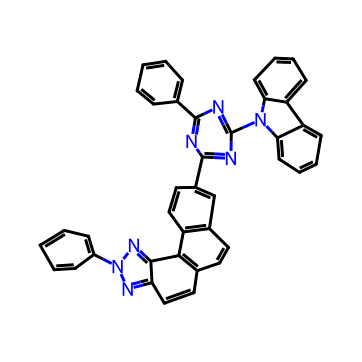 c1ccc(-c2nc(-c3ccc4c(ccc5ccc6nn(-c7ccccc7)nc6c54)c3)nc(-n3c4ccccc4c4ccccc43)n2)cc1